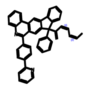 C=C(/C=C\C=C/C)C1(c2ccccc2)c2ccccc2-c2cc3c(cc21)c(-c1ccc(-c2ccccn2)cc1)nc1ccccc13